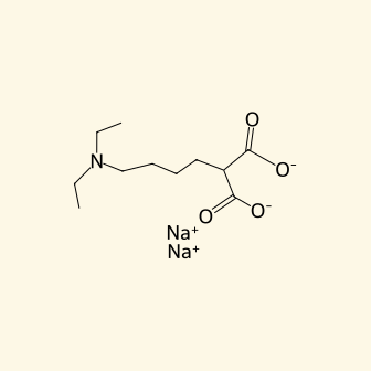 CCN(CC)CCCCC(C(=O)[O-])C(=O)[O-].[Na+].[Na+]